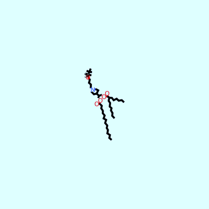 CCCCCCCCCCCCCCCC(=O)OCC(COC(=O)C(CCCCCC)CCCCCCCC)C1CCN(CCCCO[Si](C)(C)C(C)(C)C)CC1